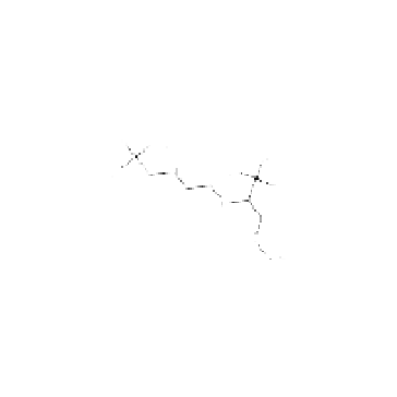 CCCCCNCC(NCCNCC(C)(C)S)C(C)(C)S